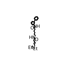 CCN(CC)CCSCC(=O)NCCCCCC(=O)Nc1cccc(-c2ccccc2)c1